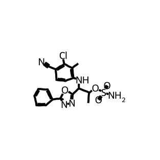 Cc1c(NC(c2nnc(-c3ccccc3)o2)C(C)OS(N)(=O)=O)ccc(C#N)c1Cl